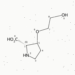 O=C(O)[C@H]1NCCC1OCCO